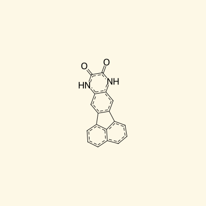 O=c1[nH]c2cc3c(cc2[nH]c1=O)-c1cccc2cccc-3c12